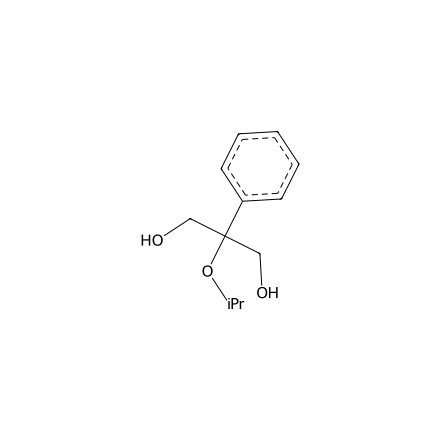 CC(C)OC(CO)(CO)c1ccccc1